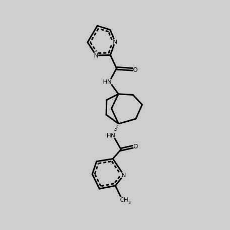 Cc1cccc(C(=O)N[C@]23CCCC(NC(=O)c4ncccn4)(CC2)C3)n1